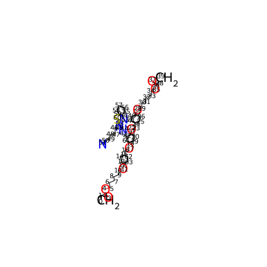 C=CC(=O)OCCCCCCOc1ccc(COc2ccc(OCc3ccc(OCCCCCCOC(=O)C=C)cc3)c(/C=N/N(CCCCC#N)c3nc4ccccc4s3)c2)cc1